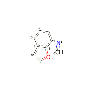 C#N.c1ccc2occc2c1